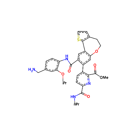 CCCNC(=O)c1ccc(-c2cc3c(cc2C(=O)Nc2ccc(CN)cc2OC(C)C)-c2sccc2CCO3)c(C(=O)OC)n1